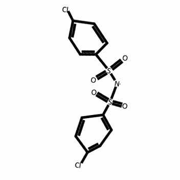 O=S(=O)([N]S(=O)(=O)c1ccc(Cl)cc1)c1ccc(Cl)cc1